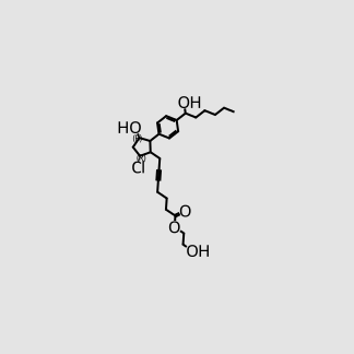 CCCCCC(O)c1ccc(C2C(CC#CCCCC(=O)OCCO)[C@H](Cl)C[C@H]2O)cc1